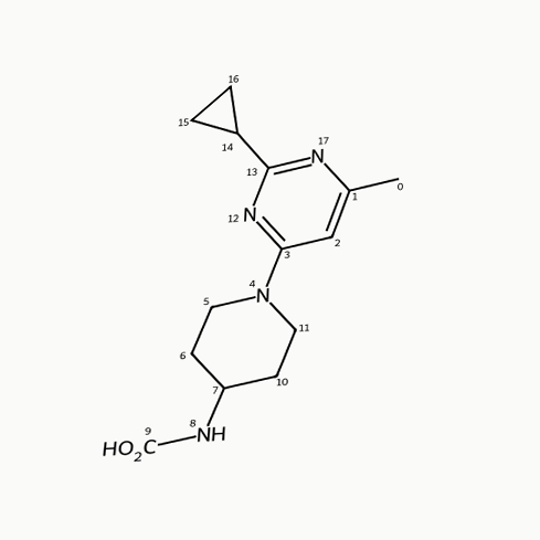 Cc1cc(N2CCC(NC(=O)O)CC2)nc(C2CC2)n1